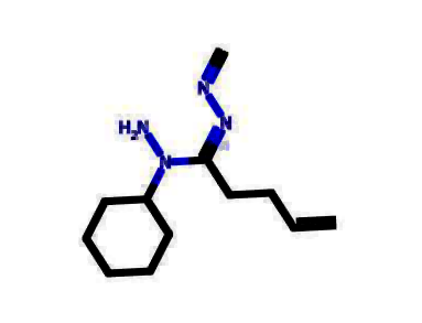 C=CCC/C(=N/N=C)N(N)C1CCCCC1